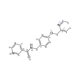 C/C=N\C(=C/C)COc1ccc(CNC(=O)c2cccnc2)cc1